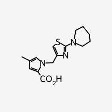 Cc1cc(C(=O)O)n(Cc2csc(N3CCCCC3)n2)c1